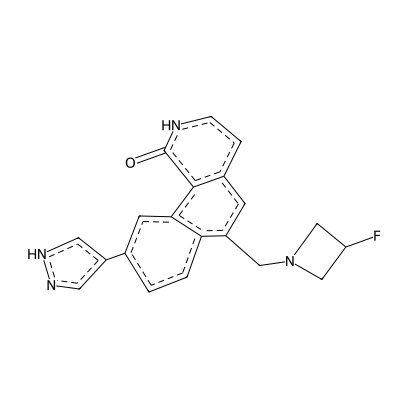 O=c1[nH]ccc2cc(CN3CC(F)C3)c3ccc(-c4cn[nH]c4)cc3c12